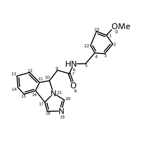 COc1ccc(CNC(=O)CC2c3ccccc3-c3cncn32)cc1